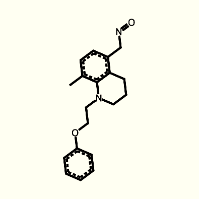 Cc1ccc(CN=O)c2c1N(CCOc1ccccc1)CCC2